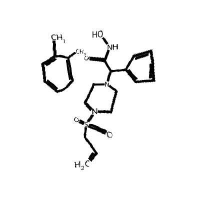 C=CCS(=O)(=O)N1CCN(C(C(=O)NO)c2ccccc2)CC1.Cc1ccccc1C